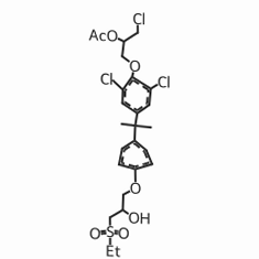 CCS(=O)(=O)CC(O)COc1ccc(C(C)(C)c2cc(Cl)c(OCC(CCl)OC(C)=O)c(Cl)c2)cc1